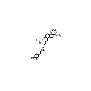 COc1ccc2c(c1OC)CCC(N)C2CCCCCCNCCc1ccc(O)c(Cl)c1.Cl.Cl